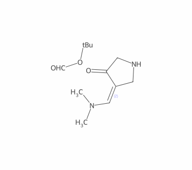 CC(C)(C)OC=O.CN(C)/C=C1/CNCC1=O